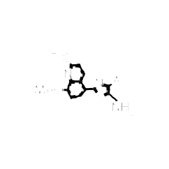 COc1ccc(-c2nc(C(C)=O)c(CN)s2)c2ccc(C(F)(F)F)nc12